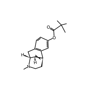 CN1CC[C@]23CCCC[C@H]2[C@H]1Cc1ccc(OC(=O)C(C)(C)C)cc13